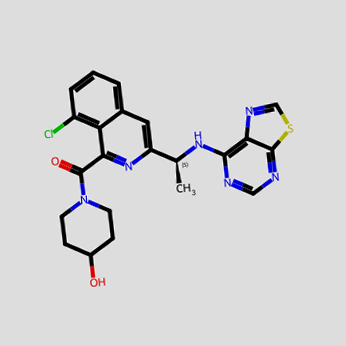 C[C@H](Nc1ncnc2scnc12)c1cc2cccc(Cl)c2c(C(=O)N2CCC(O)CC2)n1